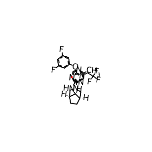 Cc1cc(N2C[C@H]3CC[C@@H](C2)[C@H]3Nc2nc(Oc3cc(F)cc(F)c3)n(CC(F)(F)F)n2)ncn1